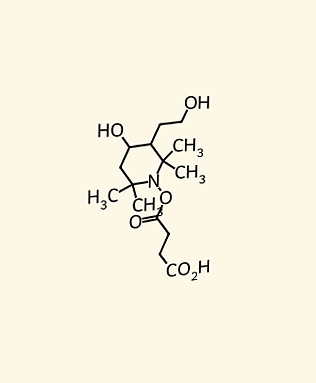 CC1(C)CC(O)C(CCO)C(C)(C)N1OC(=O)CCC(=O)O